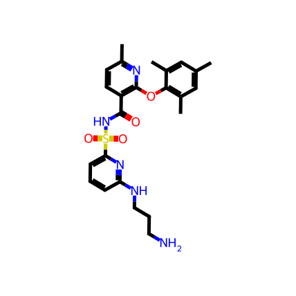 Cc1cc(C)c(Oc2nc(C)ccc2C(=O)NS(=O)(=O)c2cccc(NCCCN)n2)c(C)c1